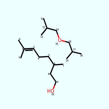 CC(C)=CCCC(C)CCO.CC(C)COCC(C)C